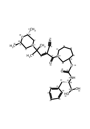 C[C@@H]1CN(C(C)(C)C=C(C#N)C(=O)N2CCCCC(OC(=O)N[C@@H](Cc3ccccc3)B(O)O)C2)C[C@@H](C)O1